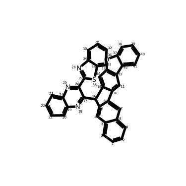 c1ccc2cc3c(cc2c1)-c1cc2c(cc1C3c1nc3ccccc3nc1-c1nc3ccccc3s1)oc1ccccc12